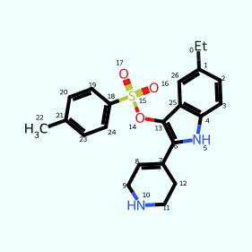 CCc1ccc2[nH]c(C3=CCNCC3)c(OS(=O)(=O)c3ccc(C)cc3)c2c1